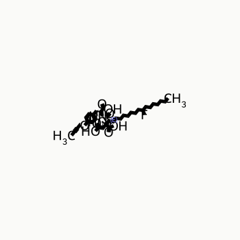 CC#CCOc1ccc(C[C@H](NC(=O)[C@@H](/C=C/CCCCCCC(F)CCCCCCC)[C@@](O)(CC(=O)O)C(=O)O)C(=O)O)cc1